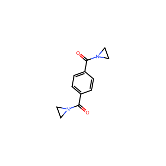 O=C(c1ccc(C(=O)N2CC2)cc1)N1CC1